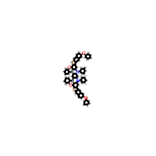 c1ccc(Oc2ccc3cc4sc5c6c7c(cc5c4cc3c2)N(c2ccccc2)c2cc3c(cc2B7c2ccccc2O6)B2c4ccccc4Oc4c2c(cc2c4sc4cc5ccc(Oc6ccccc6)cc5cc42)N3c2ccccc2)cc1